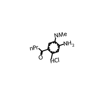 CCCC(=O)c1cc(NC)c(N)cc1C.Cl